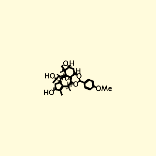 COc1ccc(C2O[C@H]3C[C@H]4OC[C@@]4(C)[C@H]4[C@H](C)[C@]5(C(C)(C)O)C[C@H](O)C(C)=C5[C@H](C)[C@H](O2)[C@]34C)cc1